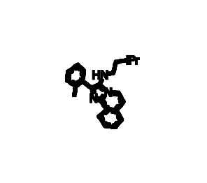 Cc1ccccc1-c1nc2c3ccccc3ccn2c1NCCC(C)C